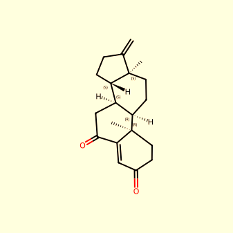 C=C1CC[C@H]2[C@@H]3CC(=O)C4=CC(=O)CC[C@]4(C)[C@@H]3CC[C@]12C